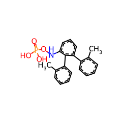 Cc1ccccc1-c1cccc(NOP(=O)(O)O)c1-c1ccccc1C